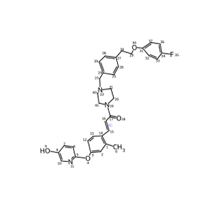 Cc1cc(Oc2ccc(O)cn2)ccc1/C=C/C(=O)N1CCN(Cc2ccc(CCOc3ccc(F)cc3)cc2)CC1